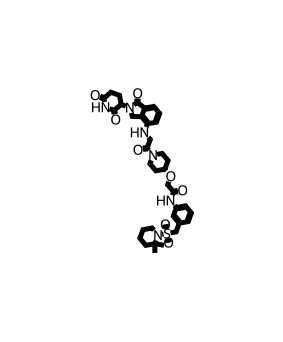 CC1(C)CCCCN1S(=O)(=O)Cc1cccc(NC(=O)COC2CCN(C(=O)CNc3cccc4c3CN(C3CCC(=O)NC3=O)C4=O)CC2)c1